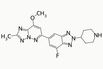 COc1cc(-c2cc(F)c3nn(C4CCNCC4)nc3c2)nn2nc(C)nc12